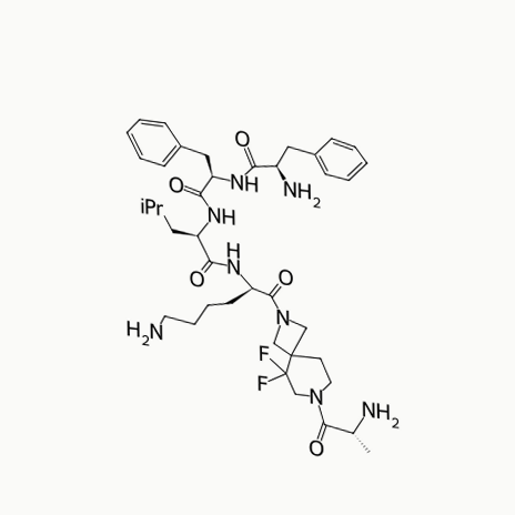 CC(C)C[C@@H](NC(=O)[C@@H](Cc1ccccc1)NC(=O)[C@H](N)Cc1ccccc1)C(=O)N[C@H](CCCCN)C(=O)N1CC2(CCN(C(=O)[C@@H](C)N)CC2(F)F)C1